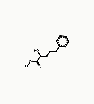 CCNC(=O)C(O)[CH]CCc1ccccc1